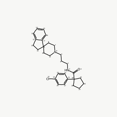 O=C(NCCCN1CCC2(CCc3ccccc32)CC1)C1(c2ccc(Cl)cc2)CCCC1